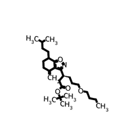 C=C1CCC(CCC(C)C)c2onc([C@@H](CCCOCCCC)CC(=O)OC(C)(C)C)c21